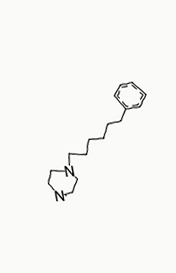 c1ccc(CCCCCCN2CC[N]CC2)cc1